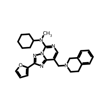 CN(c1ncc(CN2CCc3ccccc3C2)c2nc(-c3ccco3)nn12)C1CCCCC1